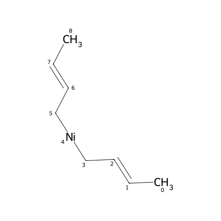 CC=C[CH2][Ni][CH2]C=CC